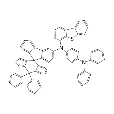 c1ccc(N(c2ccccc2)c2ccc(N(c3ccc4c(c3)-c3ccccc3C43c4ccccc4C(c4ccccc4)(c4ccccc4)c4ccccc43)c3cccc4c3sc3ccccc34)cc2)cc1